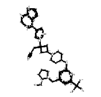 N#CCC1(n2cc(-c3ncnc4[nH]ccc34)cn2)CC(N2CCC(Oc3cc(CN4CCC[C@@H]4CO)cc(C(F)(F)F)n3)CC2)C1